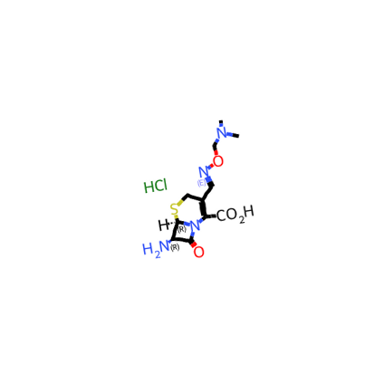 CN(C)CO/N=C/C1=C(C(=O)O)N2C(=O)[C@@H](N)[C@H]2SC1.Cl